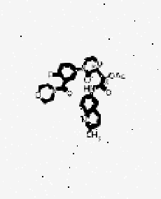 CC(=O)O[C@@H](C(=O)Nc1ccc2nc(C)ccc2c1)[C@H]1OCCN(c2ccc(F)c(C(=O)N3CCOCC3)c2)C1=O